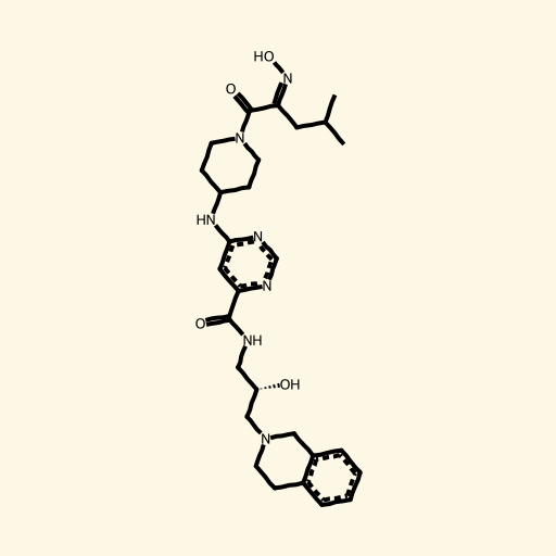 CC(C)C/C(=N/O)C(=O)N1CCC(Nc2cc(C(=O)NC[C@H](O)CN3CCc4ccccc4C3)ncn2)CC1